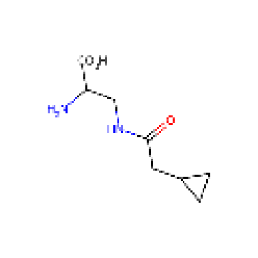 NC(CNC(=O)CC1CC1)C(=O)O